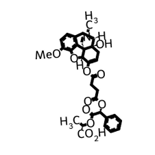 COc1ccc2c3c1O[C@@H]1C(OC(=O)CCC(=O)O[C@H](C(=O)O[C@@H](C)C(=O)O)c4ccccc4)=CC[C@]4(O)[C@H](C2)N(C)CC[C@@]314